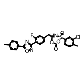 Cc1ccc(-c2nc(-c3ccc(CC(NS(=O)(=O)c4ccc(C)c(Cl)c4)OC=O)cc3F)no2)cc1